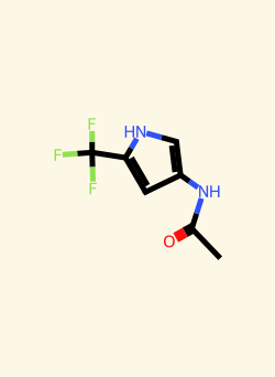 CC(=O)Nc1c[nH]c(C(F)(F)F)c1